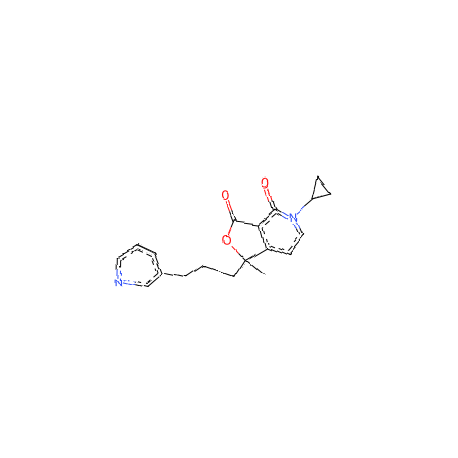 CC1(CCCc2cccnc2)OC(=O)c2c1ccn(C1CC1)c2=O